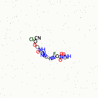 C=C1CCC(N2C(=O)c3cc(F)c(N4CCN(CC5CCN(c6ncc(C(=O)N[C@H]7CC[C@H](Oc8ccc(C#N)c(Cl)c8)CC7)cn6)CC5)CC4)cc3C2=O)C(=O)N1